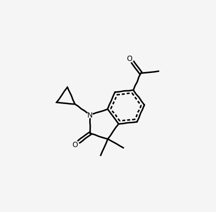 CC(=O)c1ccc2c(c1)N(C1CC1)C(=O)C2(C)C